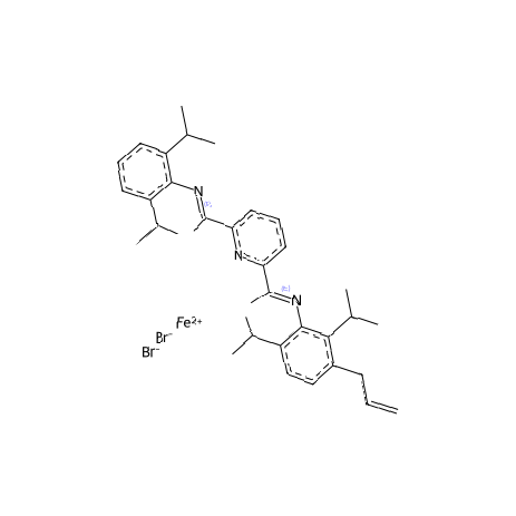 C=CCc1ccc(C(C)C)c(/N=C(\C)c2cccc(/C(C)=N/c3c(C(C)C)cccc3C(C)C)n2)c1C(C)C.[Br-].[Br-].[Fe+2]